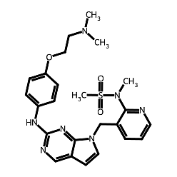 CN(C)CCOc1ccc(Nc2ncc3ccn(Cc4cccnc4N(C)S(C)(=O)=O)c3n2)cc1